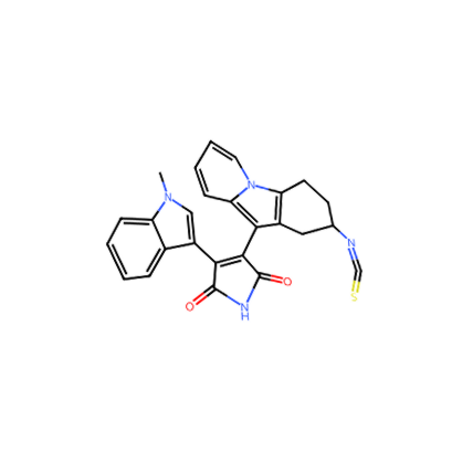 Cn1cc(C2=C(c3c4c(n5ccccc35)CCC(N=C=S)C4)C(=O)NC2=O)c2ccccc21